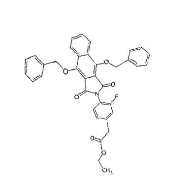 CCOC(=O)Cc1ccc(N2C(=O)c3c(c(OCc4ccccc4)c4ccccc4c3OCc3ccccc3)C2=O)c(F)c1